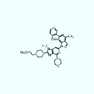 COCCN1CCN(c2nc3c(C4CCOCC4)nc(-n4ncc5c(C)nc(-c6cnccc6OC)cc54)cc3n2C)CC1